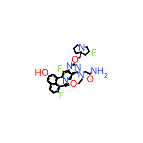 C#Cc1c(F)ccc2cc(O)cc(-c3nc4c5c(nc(OC[C@@]67CCCN6C[C@H](F)C7)nc5c3F)N(CC(N)=O)CCO4)c12